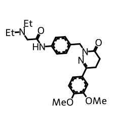 CCN(CC)CC(=O)Nc1ccc(CN2N=C(c3ccc(OC)c(OC)c3)CCC2=O)cc1